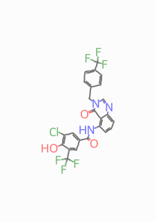 O=C(Nc1cccc2ncn(Cc3ccc(C(F)(F)F)cc3)c(=O)c12)c1cc(Cl)c(O)c(C(F)(F)F)c1